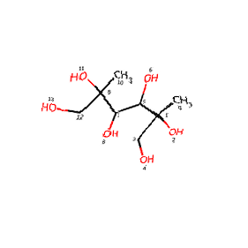 CC(O)(CO)C(O)C(O)C(C)(O)CO